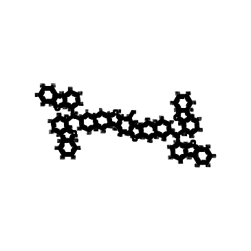 Cc1c2oc3cc4cc(N(c5cccc6c5oc5ccccc56)c5cccc6c5oc5ccccc56)ccc4cc3c2cc2oc3cc4cc(N(c5cccc6c5oc5ccccc56)c5cccc6c5oc5ccccc56)ccc4cc3c12